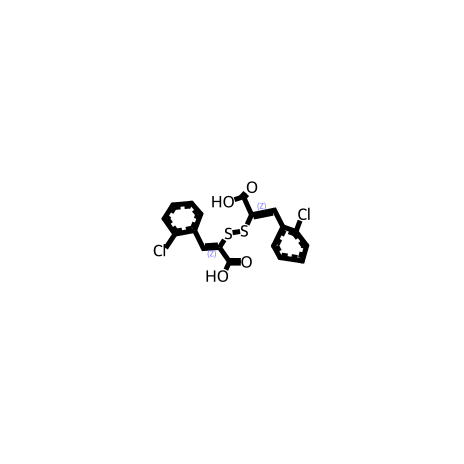 O=C(O)/C(=C/c1ccccc1Cl)SS/C(=C\c1ccccc1Cl)C(=O)O